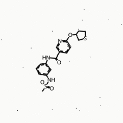 CS(=O)(=O)Nc1cccc(NC(=O)c2ccc(OC3CCSC3)nc2)c1